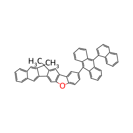 CC1(C)c2cc3ccccc3cc2-c2cc3oc4ccc(-c5c6ccccc6c(-c6cccc7ccccc67)c6ccccc56)cc4c3cc21